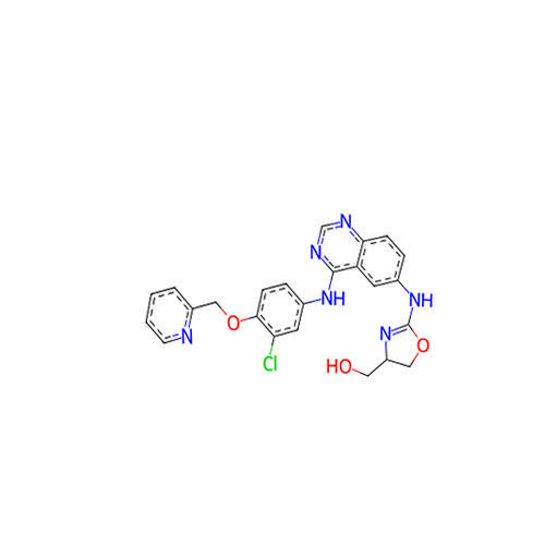 OCC1COC(Nc2ccc3ncnc(Nc4ccc(OCc5ccccn5)c(Cl)c4)c3c2)=N1